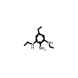 CCNc1cc(CC)cc(NCC)c1N